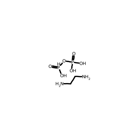 NCCN.O=[PH](O)OP(=O)(O)O